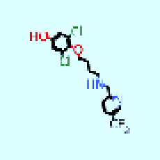 Oc1cc(Cl)c(OCCCCNCc2ccc(C(F)(F)F)cn2)c(Cl)c1